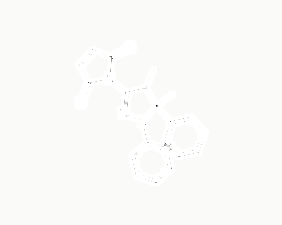 CC1C(N2C(=O)C=CC2=O)=NN(c2ccccn2)C1(C)c1ccccc1